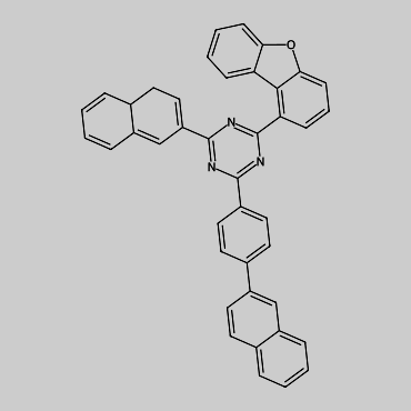 C1=CC2=CC(c3nc(-c4ccc(-c5ccc6ccccc6c5)cc4)nc(-c4cccc5oc6ccccc6c45)n3)=CCC2C=C1